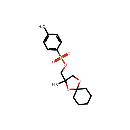 Cc1ccc(S(=O)(=O)OCC2(C)COC3(CCCCC3)O2)cc1